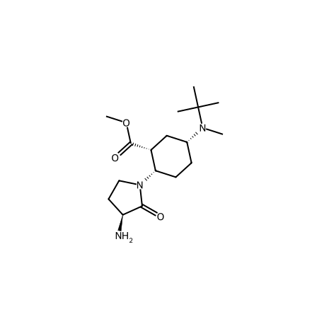 COC(=O)[C@@H]1C[C@H](N(C)C(C)(C)C)CC[C@@H]1N1CC[C@H](N)C1=O